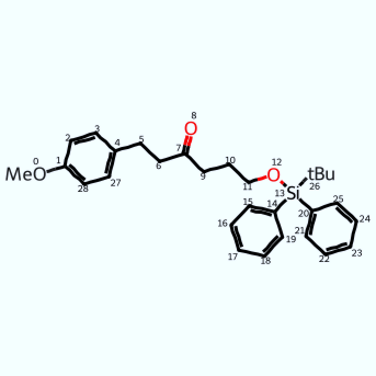 COc1ccc(CCC(=O)CCCO[Si](c2ccccc2)(c2ccccc2)C(C)(C)C)cc1